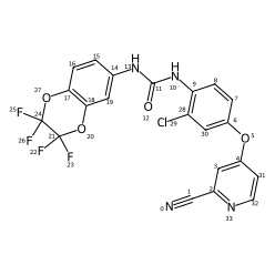 N#Cc1cc(Oc2ccc(NC(=O)Nc3ccc4c(c3)OC(F)(F)C(F)(F)O4)c(Cl)c2)ccn1